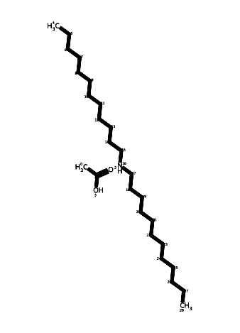 CC(=O)O.CCCCCCCCCCCCNCCCCCCCCCCCC